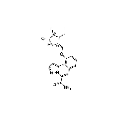 CCC1[C@H](F)C(=O)N[C@@H]1COc1cccc2cc(C(N)=O)n3nccc3c12